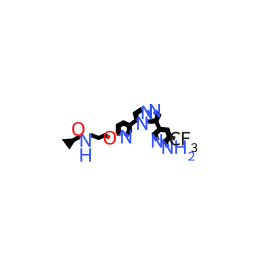 Nc1ncc(-c2cnn3ccc(-c4ccc(OCCCNC(=O)C5CC5)nc4)nc23)cc1C(F)(F)F